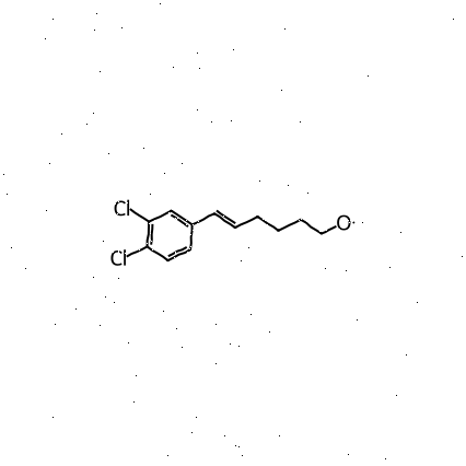 [O]CCCC/C=C/c1ccc(Cl)c(Cl)c1